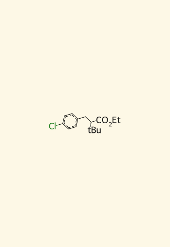 CCOC(=O)C(Cc1ccc(Cl)cc1)C(C)(C)C